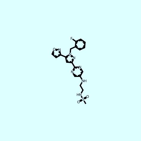 CS(=O)(=O)NCCNc1cnc(-c2cc(-c3ccon3)n(Cc3ccccc3F)n2)nc1